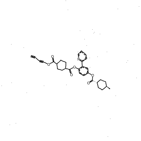 C#CC#COC(=O)C1CCC(C(=O)Oc2ccc(OC(=O)[C@H]3CC[C@H](C)CC3)cc2-c2ccccn2)CC1